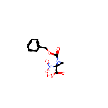 O=C(OCc1ccccc1)N1CC1(C(=O)O)[N+](=O)[O-]